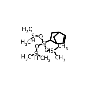 C[SiH](C)O[Si](O[SiH](C)C)(O[SiH](C)C)C1CC2C=CC1C2